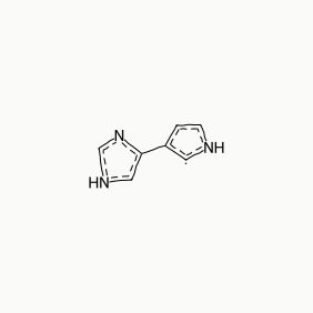 [c]1[nH]ccc1-c1c[nH]cn1